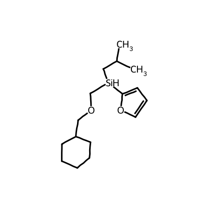 CC(C)C[SiH](COCC1CCCCC1)c1ccco1